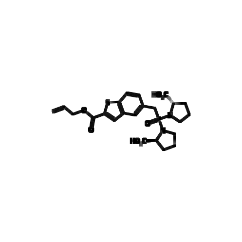 C=CCOC(=O)c1cc2cc(CP(=O)(N3CCC[C@H]3C(=O)O)N3CCC[C@H]3C(=O)O)ccc2s1